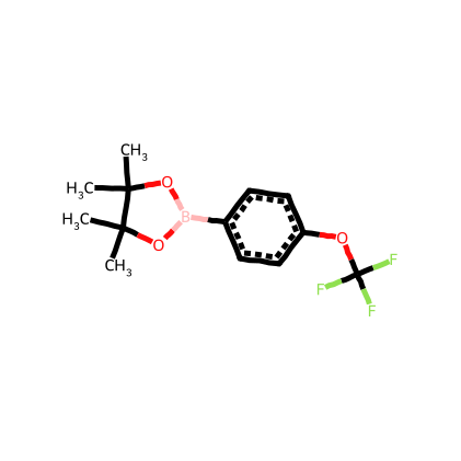 CC1(C)OB(c2ccc(OC(F)(F)F)cc2)OC1(C)C